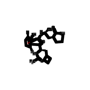 N#C[C@H](C[C@@H]1CCCNC1=O)NC(=O)[C@@H]1[C@H]2CC[C@H](CC2(F)F)N1C(=O)[C@H](CC1CCC1)NC(=O)C(F)(F)F